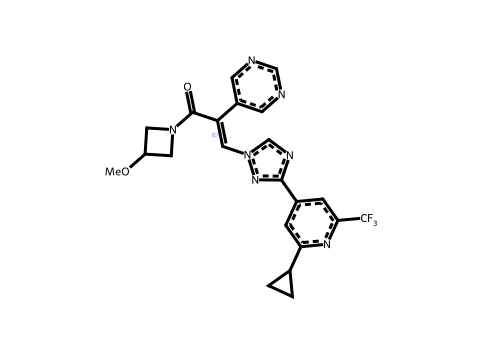 COC1CN(C(=O)/C(=C/n2cnc(-c3cc(C4CC4)nc(C(F)(F)F)c3)n2)c2cncnc2)C1